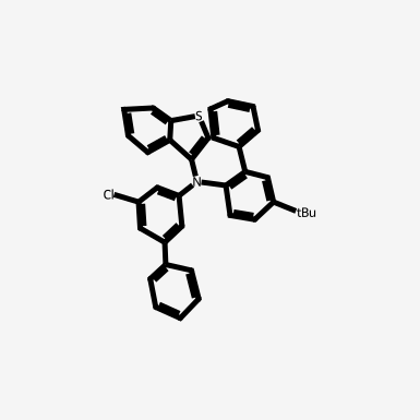 CC(C)(C)c1ccc(N(c2cc(Cl)cc(-c3ccccc3)c2)c2csc3ccccc23)c(-c2ccccc2)c1